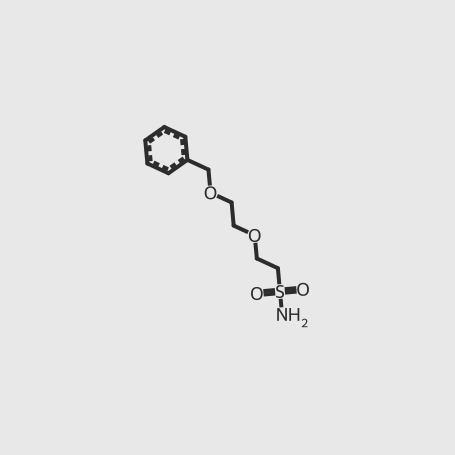 NS(=O)(=O)CCOCCOCc1ccccc1